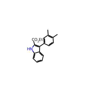 CCOC(=O)c1[nH]c2ccccc2c1-c1ccc(C)c(C)c1